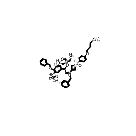 CCCCOc1ccc(S(=O)(=O)N2CC(N(Cc3ccccc3)C[C@H](O[Si](CC)(CC)CC)c3ccc(OCc4ccccc4)c(NS(C)(=O)=O)c3)C2)cc1